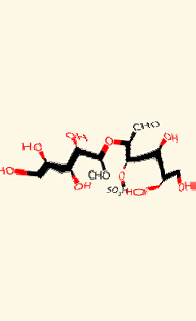 O=C[C@H](O[C@@H](C=O)[C@@H](OS(=O)(=O)O)[C@@H](O)[C@H](O)CO)[C@@H](O)[C@@H](O)[C@H](O)CO